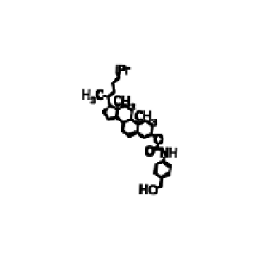 CC(C)CCC[C@H](C)[C@@H]1CCC2C3CC=C4C[C@H](OC(=O)Nc5ccc(CO)cc5)CC[C@@]4(C)C3CC[C@]21C